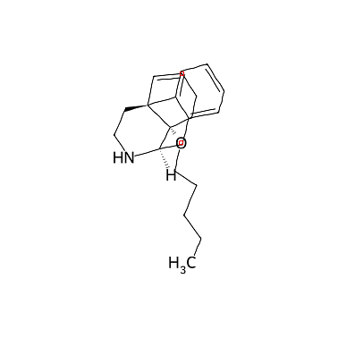 CCCCCO[C@@]12CCC=C[C@@]13CCN[C@@H]2Cc1ccccc13